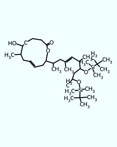 C/C(=C\C(C)C(CC(C)O[Si](C)(C)C(C)(C)C)O[Si](C)(C)C(C)(C)C)CC(C)C1C/C=C/CC(C)C(O)CCCC(=O)O1